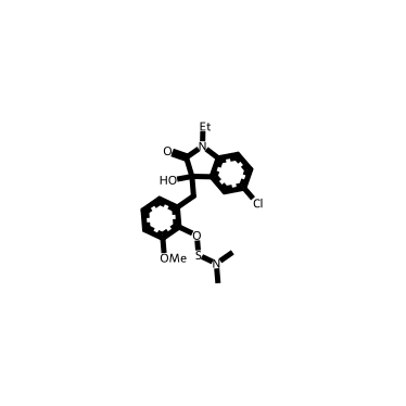 CCN1C(=O)C(O)(Cc2cccc(OC)c2OSN(C)C)c2cc(Cl)ccc21